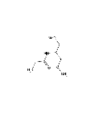 BCC(=O)NC(COC)CON